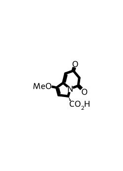 COC1=C[C@@H](C(=O)O)N2C(=O)CC(=O)C=C12